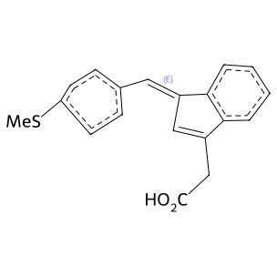 CSc1ccc(/C=C2\C=C(CC(=O)O)c3ccccc32)cc1